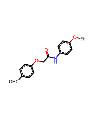 CCOc1ccc(NC(=O)COc2ccc(C=O)cc2)cc1